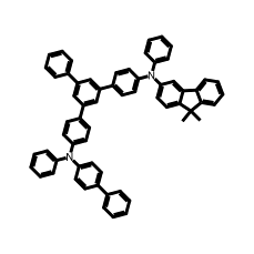 CC1(C)c2ccccc2-c2cc(N(c3ccccc3)c3ccc(-c4cc(-c5ccccc5)cc(-c5ccc(N(c6ccccc6)c6ccc(-c7ccccc7)cc6)cc5)c4)cc3)ccc21